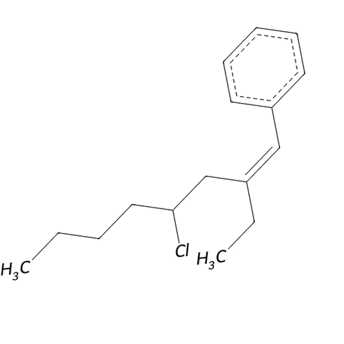 CCCCC(Cl)CC(=Cc1ccccc1)CC